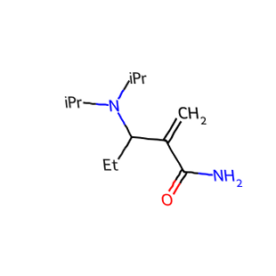 C=C(C(N)=O)C(CC)N(C(C)C)C(C)C